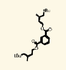 CC(CCOC(=O)c1cccc(C(=O)OCCC(C)CC(C)(C)C)c1)CC(C)(C)C